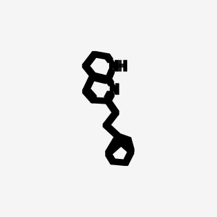 c1cc2c(nc1CCC1CC3CCC1C3)NCCC2